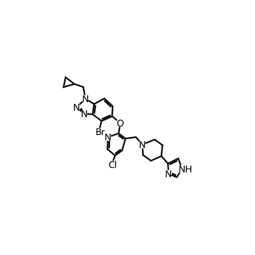 Clc1cnc(Oc2ccc3c(nnn3CC3CC3)c2Br)c(CN2CCC(c3c[nH]cn3)CC2)c1